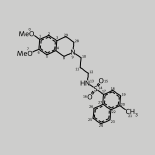 COc1cc2c(cc1OC)CN(CCCNS(=O)(=O)c1ccc(C)c3ccccc13)CC2